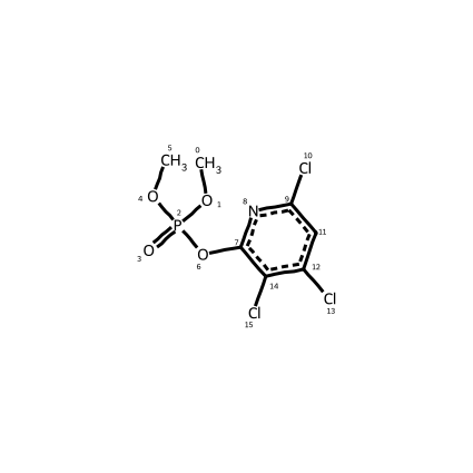 COP(=O)(OC)Oc1nc(Cl)cc(Cl)c1Cl